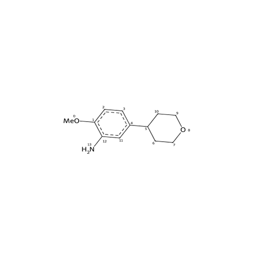 COc1ccc(C2CCOCC2)cc1N